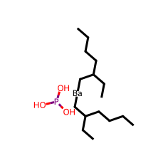 CCCCC(CC)[CH2][Ba][CH2]C(CC)CCCC.OP(O)O